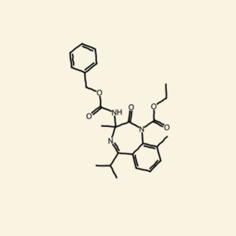 CCOC(=O)N1C(=O)C(C)(NC(=O)OCc2ccccc2)N=C(C(C)C)c2cccc(C)c21